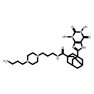 CCCn1c(=O)c2[nH]c(C34CC5CC(CC(C(=O)NCCCN6CCN(CCCN)CC6)(C5)C3)C4)nc2n(CCC)c1=O